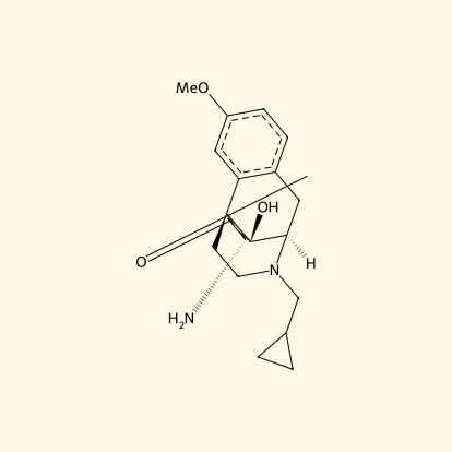 COc1ccc2c(c1)[C@]13CCN(CC4CC4)[C@H](C2)[C@]1(O)C[C@H](N)C(=O)C3